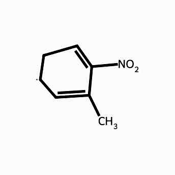 CC1=C[CH]CC=C1[N+](=O)[O-]